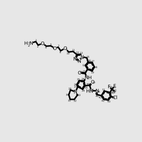 NCCOCCOCCOCCc1cn(Cc2cccc(C(=O)Nc3ccc(N4CCCCC4)cc3C(=O)NN=Cc3ccc(Cl)c(C(F)(F)F)c3)c2)nn1